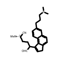 CN[C@H](C#N)CCC(C=O)C1=CCc2ccc3cc(CCCN(C)C)ccc3c21